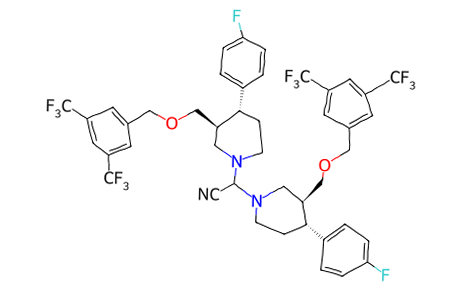 N#CC(N1CC[C@@H](c2ccc(F)cc2)[C@H](COCc2cc(C(F)(F)F)cc(C(F)(F)F)c2)C1)N1CC[C@@H](c2ccc(F)cc2)[C@H](COCc2cc(C(F)(F)F)cc(C(F)(F)F)c2)C1